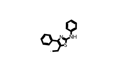 [CH2]Cc1sc(Nc2ccccc2)nc1-c1ccccc1